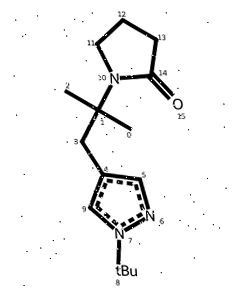 CC(C)(Cc1cnn(C(C)(C)C)c1)N1CCCC1=O